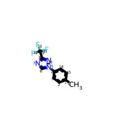 Cc1ccc(-n2cnc(C(F)(F)F)n2)cc1